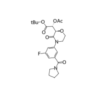 CC(=O)O[C@@H](C(=O)OC(C)(C)C)[C@H]1OCCN(c2cc(F)cc(C(=O)N3CCCC3)c2)C1=O